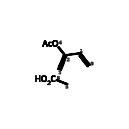 C=CC(=C)OC(C)=O.CC(=O)O